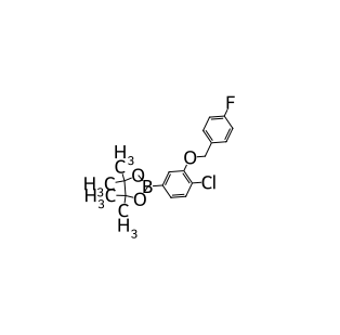 CC1(C)OB(c2ccc(Cl)c(OCc3ccc(F)cc3)c2)OC1(C)C